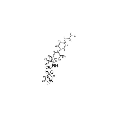 CCCCc1ccc(-c2cc3c(cc2C)[C@H](NC(=O)O[C@H]2CN4CCC2CC4)C(C)(C)C3)cc1